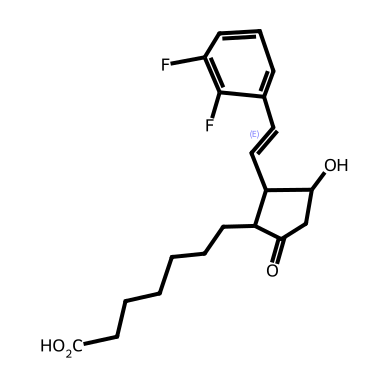 O=C(O)CCCCCCC1C(=O)CC(O)C1/C=C/c1cccc(F)c1F